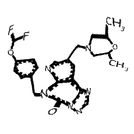 CC1CN(Cc2cnc3c(c2)c2ncnn2c(=O)n3Cc2ccc(OC(F)F)cc2)CC(C)O1